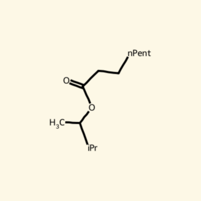 CCCCCCCC(=O)OC(C)C(C)C